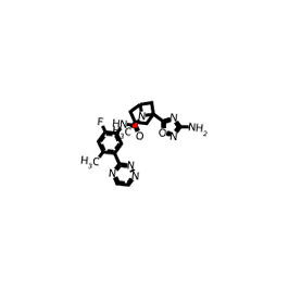 Cc1cc(F)c(NC(=O)N2C3CC(C)CC2(c2nc(N)no2)C3)cc1-c1nccnn1